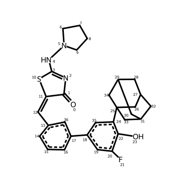 O=C1N=C(NN2CCCC2)SC1=Cc1cccc(-c2cc(F)c(O)c(C34CC5CC(CC(C5)C3)C4)c2)c1